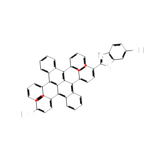 Cc1ccc(-c2c3ccccc3c(-c3ccc(-c4nc5ccc(C)cc5s4)cc3)c3c(-c4ccccc4)c4ccccc4c(-c4ccccc4)c23)cc1